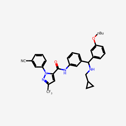 CCCCOc1cccc(C(NCC2CC2)c2cccc(NC(=O)c3cc(C(F)(F)F)nn3-c3cccc(C#N)c3)c2)c1